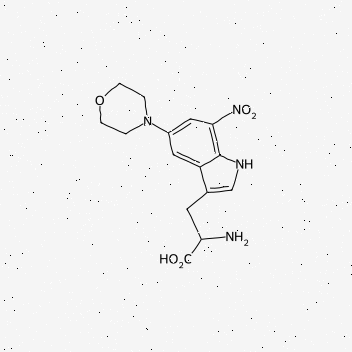 NC(Cc1c[nH]c2c([N+](=O)[O-])cc(N3CCOCC3)cc12)C(=O)O